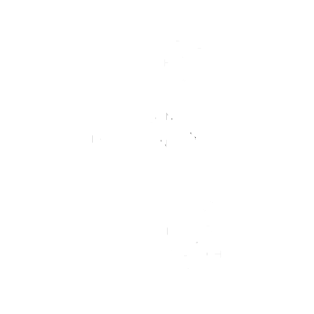 CC(C)Cc1nc(N(CCc2ccc(OC(C)(C)C(=O)O)cc2)Cc2ccc(C(F)(F)F)cc2)no1